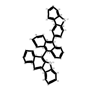 c1ccc2c(-c3c4ccccc4c(-c4ccc5sc6ccccc6c5c4)c4ccccc34)c3oc4ccccc4c3cc2c1